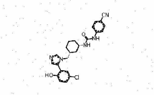 N#Cc1ccc(NC(=O)N[C@H]2CCC[C@@H](Cn3cncc3-c3cc(Cl)ccc3O)C2)cc1